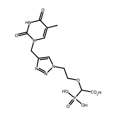 Cc1cn(Cc2cn(CCOC(C(=O)O)P(=O)(O)O)nn2)c(=O)[nH]c1=O